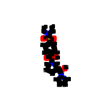 CCN(CC)S(=O)(=O)c1ccc(S(=O)(=O)N2CCC[C@@H](C(=O)N3CCCC3)C2)cc1